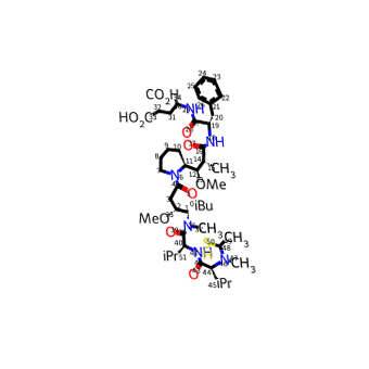 CC[C@H](C)[C@@H]([C@@H](CC(=O)N1CCCC[C@H]1[C@H](OC)[C@@H](C)C(=O)N[C@@H](Cc1ccccc1)C(=O)NC(CCC(=O)O)C(=O)O)OC)N(C)C(=O)[C@@H](NC(=O)[C@H](C(C)C)N(C)C(C)S)C(C)C